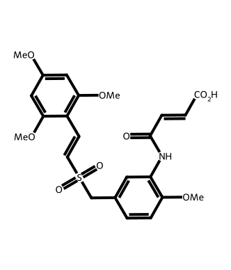 COc1cc(OC)c(/C=C/S(=O)(=O)Cc2ccc(OC)c(NC(=O)/C=C/C(=O)O)c2)c(OC)c1